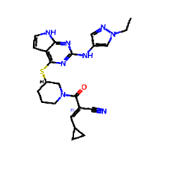 CCn1cc(Nc2nc(S[C@@H]3CCCN(C(=O)/C(C#N)=C/C4CC4)C3)c3cc[nH]c3n2)cn1